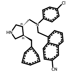 N#Cc1ccc2c(CN(C[C@H]3CNC[C@@H]3Cc3ccccc3)c3ccc(Cl)cc3)cccc2c1